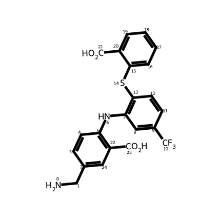 NCc1ccc(Nc2cc(C(F)(F)F)ccc2Sc2ccccc2C(=O)O)c(C(=O)O)c1